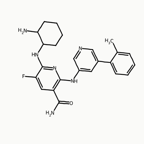 Cc1ccccc1-c1cncc(Nc2nc(NC3CCCCC3N)c(F)cc2C(N)=O)c1